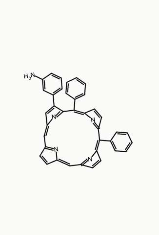 Nc1cccc(C2=CC3=CC4=NC(=CC5=NC(=C(c6ccccc6)C6=NC(=C(c7ccccc7)C2=N3)C=C6)C=C5)C=C4)c1